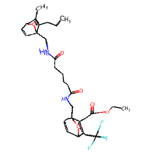 CCOC(=O)C1=C(C(F)(F)F)C2C=CC1(CNC(=O)CCCC(=O)NCC13C=CC(O1)C(C)=C3CC)O2